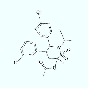 CC(=O)OC1(C)CC(c2cccc(Cl)c2)C(c2ccc(Cl)cc2)N(C(C)C)S1(=O)=O